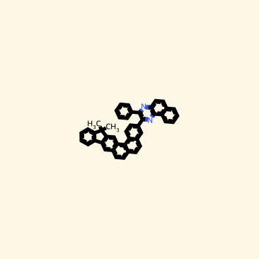 CC1(C)c2ccccc2-c2cc3ccc4ccc5cc(-c6nc7c(ccc8ccccc87)nc6-c6ccccc6)ccc5c4c3cc21